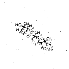 COCC(COC(C)(C)C(=O)OC(C)(C)C(C)(C)O)C(C)(C)O